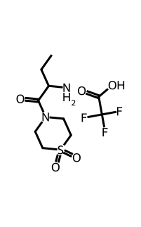 CCC(N)C(=O)N1CCS(=O)(=O)CC1.O=C(O)C(F)(F)F